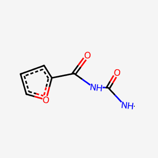 [NH]C(=O)NC(=O)c1ccco1